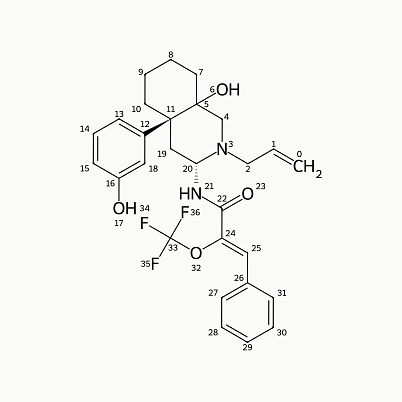 C=CCN1CC2(O)CCCC[C@@]2(c2cccc(O)c2)C[C@H]1NC(=O)C(=Cc1ccccc1)OC(F)(F)F